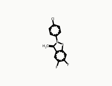 C=C1c2cc(F)c(F)cc2SN1c1ccc(Cl)cc1